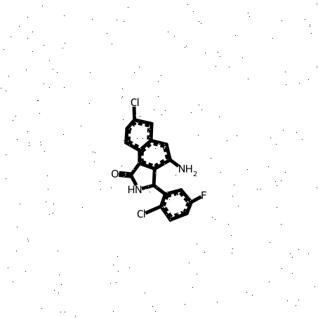 Nc1cc2cc(Cl)ccc2c2c1C(c1cc(F)ccc1Cl)NC2=O